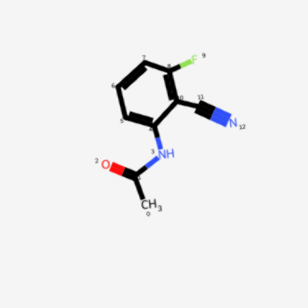 CC(=O)Nc1cccc(F)c1C#N